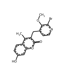 COc1c(Cc2c(C)c3ccc(O)cc3oc2=O)ccnc1Br